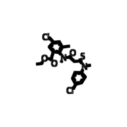 CCOC(=O)c1cc(Cl)cc(C)c1N(C)C(=O)CC(=S)N(C)c1ccc(Cl)cc1